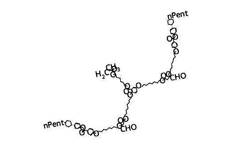 C=C(C)C(=O)OCCCCCCOC(=O)c1cc(OCCCCCCCCOC(=O)CC(C=O)OCCCCCCCCOc2ccc(C(=O)Oc3ccc([C@H]4CC[C@H](CCCCC)CC4)cc3)cc2)ccc1OCCCCCCCCOC(=O)CC(C=O)OCCCCCCCCOc1ccc(C(=O)Oc2ccc([C@H]3CC[C@H](CCCCC)CC3)cc2)cc1